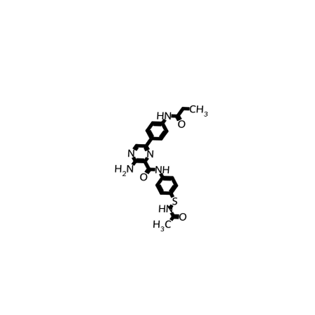 CCC(=O)Nc1ccc(-c2cnc(N)c(C(=O)Nc3ccc(SNC(C)=O)cc3)n2)cc1